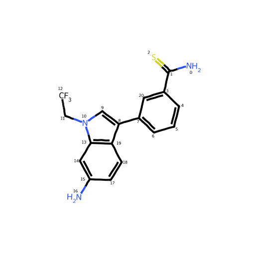 NC(=S)c1cccc(-c2cn(CC(F)(F)F)c3cc(N)ccc23)c1